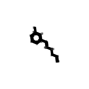 C=CCON=Cc1cc[c]c(C)c1